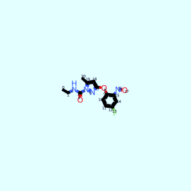 CCNC(=O)n1nc(Oc2ccc(F)cc2N=O)cc1C